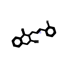 O=C1c2ccccc2CC(O)N1C/C=C/c1ccccc1F